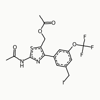 CC(=O)Nc1nc(-c2cc(CI)cc(OC(F)(F)F)c2)c(COC(C)=O)s1